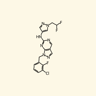 Fc1c(Cl)cccc1Cn1ncc2cnc(Nc3cnn(CC(F)F)c3)nc21